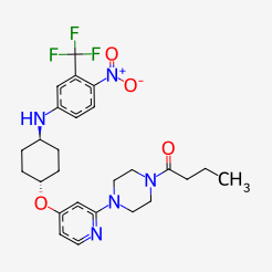 CCCC(=O)N1CCN(c2cc(O[C@H]3CC[C@H](Nc4ccc([N+](=O)[O-])c(C(F)(F)F)c4)CC3)ccn2)CC1